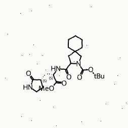 COC(=O)[C@H](C[C@@H]1CCNC1=O)NC(=O)C1CC2(CCCCC2)CN1C(=O)OC(C)(C)C